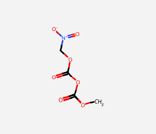 COC(=O)OC(=O)OC[N+](=O)[O-]